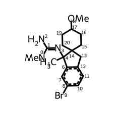 CN/C(N)=N\C1(C)c2cc(Br)ccc2CC12CCC(OC)CC2